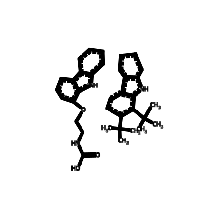 CC(C)(C)c1ccc2c([nH]c3ccccc32)c1C(C)(C)C.O=C(O)NCCOc1cccc2c1[nH]c1ccccc12